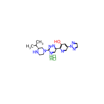 CC(C)[C@H]1CN(c2ncc(-c3ncc(-n4nccn4)cc3O)nn2)CCN1.Cl.Cl